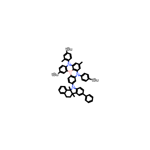 Cc1cc2c3c(c1)N(c1ccc(C(C)(C)C)cc1C)c1ccc(C(C)(C)C)cc1B3c1ccc(N3c4ccc(-c5ccccc5)cc4C4(C)CCc5ccccc5C34C)cc1N2c1ccc(C(C)(C)C)cc1